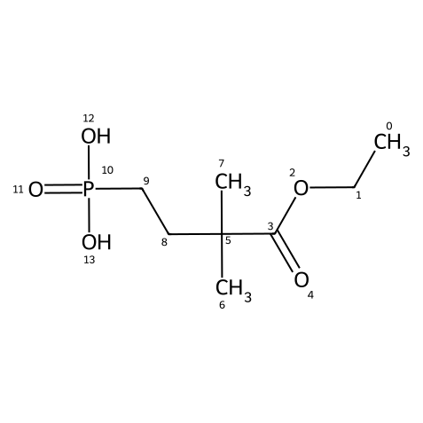 CCOC(=O)C(C)(C)CCP(=O)(O)O